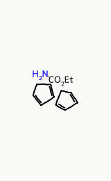 C1=CCC=C1.C1=CCC=C1.CCOC(N)=O